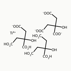 O=C(O)CC(O)(CC(=O)O)C(=O)O.O=C([O-])CC(O)(CC(=O)O)C(=O)O.O=C([O-])CC(O)(CC(=O)[O-])C(=O)[O-].[Ti+4]